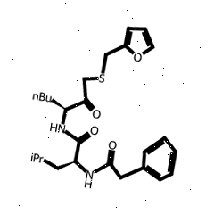 CCCC[C@H](NC(=O)[C@H](CC(C)C)NC(=O)Cc1ccccc1)C(=O)CSCc1ccco1